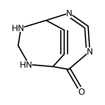 O=C1N=C=NC2C#CC1NCN2